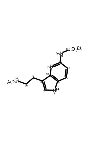 CCOC(=O)Nc1ccc2[nH]cc(CCNC(C)=O)c2n1